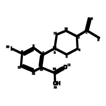 C=C(C)C1CCN(c2cc(I)ccc2C(=O)O)CC1